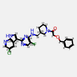 O=C(COCc1ccccc1)N1CCC[C@H](CNc2nc(-c3c[nH]c4ncc(Cl)cc34)ncc2F)C1